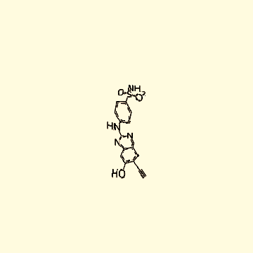 C#Cc1cc2cnc(Nc3ccc(S(N)(=O)=O)cc3)nc2cc1O